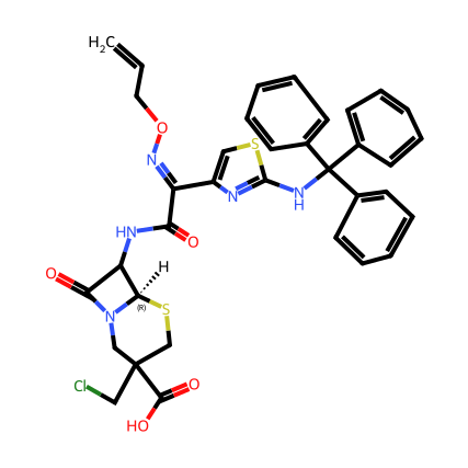 C=CCON=C(C(=O)NC1C(=O)N2CC(CCl)(C(=O)O)CS[C@H]12)c1csc(NC(c2ccccc2)(c2ccccc2)c2ccccc2)n1